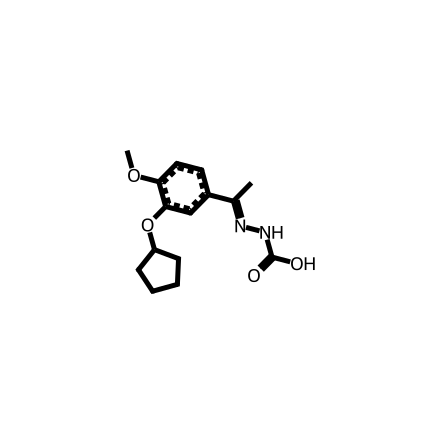 COc1ccc(/C(C)=N/NC(=O)O)cc1OC1CCCC1